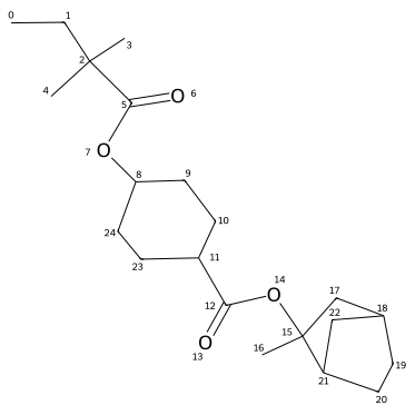 CCC(C)(C)C(=O)OC1CCC(C(=O)OC2(C)CC3CCC2C3)CC1